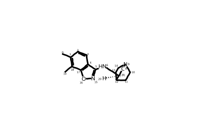 Cc1ccc2c(N[C@H]3CN4CCC3CC4)noc2c1C